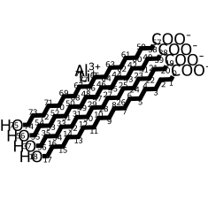 O=C([O-])CCCCCCCCCCCCCCCCCO.O=C([O-])CCCCCCCCCCCCCCCCCO.O=C([O-])CCCCCCCCCCCCCCCCCO.O=C([O-])CCCCCCCCCCCCCCCCCO.[Al+3].[Li+]